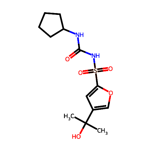 CC(C)(O)c1coc(S(=O)(=O)NC(=O)NC2CCCC2)c1